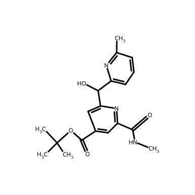 CNC(=O)c1cc(C(=O)OC(C)(C)C)cc(C(O)c2cccc(C)n2)n1